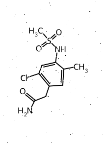 Cc1cc([CH]C(N)=O)c(Cl)cc1NS(C)(=O)=O